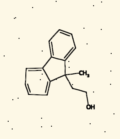 CC1(CCO)c2ccccc2-c2ccccc21